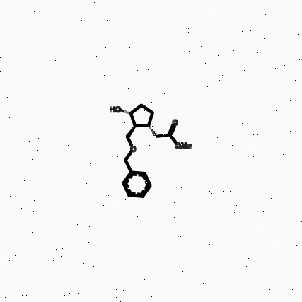 COC(=O)C[C@H]1CC[C@@H](O)[C@@H]1COCc1ccccc1